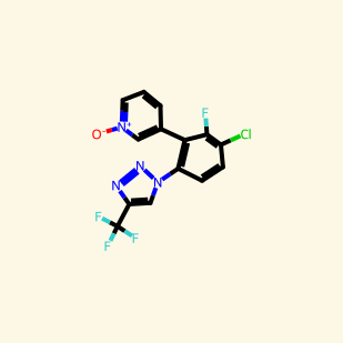 [O-][n+]1cccc(-c2c(-n3cc(C(F)(F)F)nn3)ccc(Cl)c2F)c1